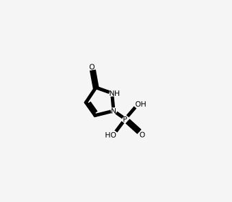 O=c1ccn(P(=O)(O)O)[nH]1